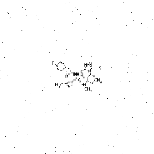 C=CC(CC(CC)n1c(C)nnc1C(C)C)N(C)CCC(NC(=O)Cc1ccc(F)cc1)c1ccc(C)s1